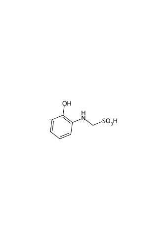 O=S(=O)(O)CNc1ccc[c]c1O